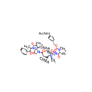 CC[C@H](C)C([C@@H](CC(=O)N1CCC[C@H]1[C@H](OC)[C@@H](C)C(=O)N[C@H](C)[C@@H](O)c1ccccc1)OC)N(C)C(=O)CNC(=O)C(C(C)C)N(C)C(=O)OCc1ccc(NC(C)=O)cc1